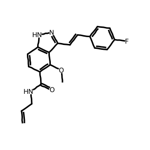 C=CCNC(=O)c1ccc2[nH]nc(C=Cc3ccc(F)cc3)c2c1OC